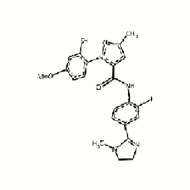 COc1ccc(-n2nc(C)cc2C(=O)Nc2ccc(C3=NCCN3C)cc2F)c(S)c1